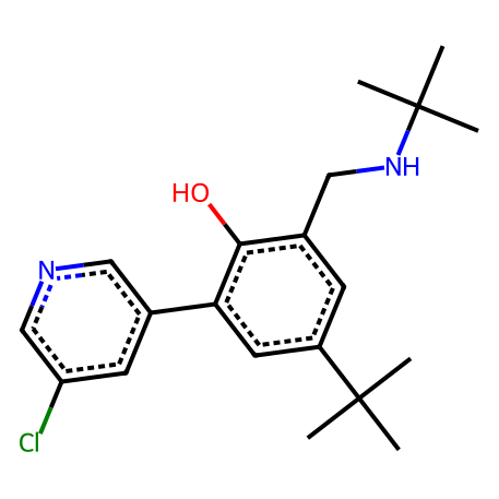 CC(C)(C)NCc1cc(C(C)(C)C)cc(-c2cncc(Cl)c2)c1O